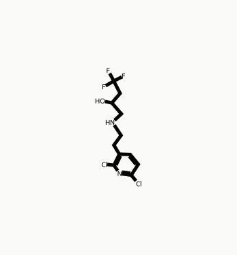 OC(CNCCc1ccc(Cl)nc1Cl)CC(F)(F)F